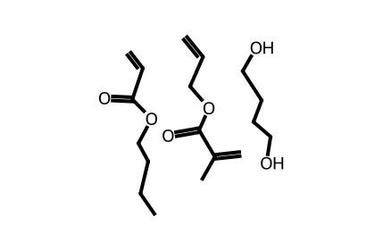 C=CC(=O)OCCCC.C=CCOC(=O)C(=C)C.OCCCCO